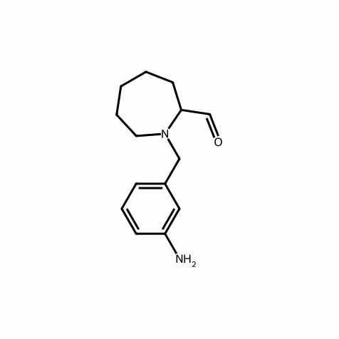 Nc1cccc(CN2CCCCCC2C=O)c1